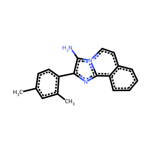 Cc1ccc(-c2nc3c4ccccc4ccn3c2N)c(C)c1